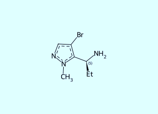 CC[C@H](N)c1c(Br)cnn1C